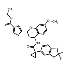 CCOC(=O)c1csc([C@H]2C[C@@H](NC(=O)C3(c4ccc5c(c4)OC(F)(F)O5)CC3)c3ccc(OC)cc3O2)n1